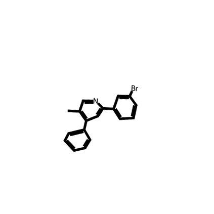 Cc1cnc(-c2cccc(Br)c2)cc1-c1ccccc1